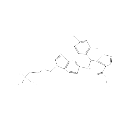 COC(=O)c1ncsc1C(Nc1ccc2c(c1)ncn2COCC[Si](C)(C)C)c1ccc(Cl)cc1F